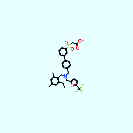 CCc1cc(C)cc(C)c1CN(Cc1ccc(-c2cccc(S(=O)(=O)CC(=O)O)c2)cc1)Cc1ccc(C(F)(F)F)o1